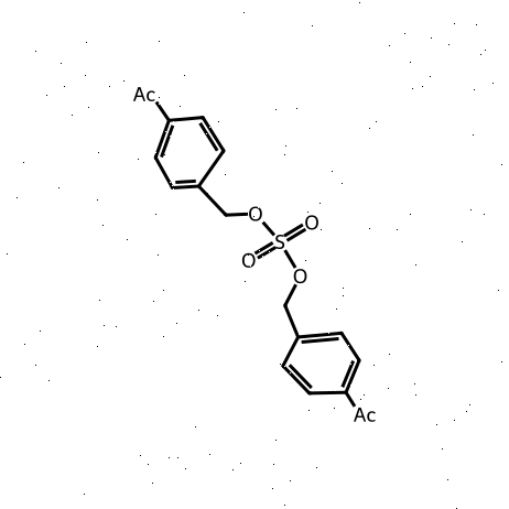 CC(=O)c1ccc(COS(=O)(=O)OCc2ccc(C(C)=O)cc2)cc1